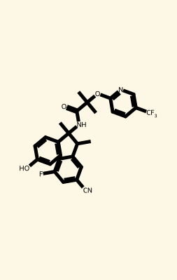 CC(c1cc(F)cc(C#N)c1)C(C)(NC(=O)C(C)(C)Oc1ccc(C(F)(F)F)cn1)c1ccc(O)cc1